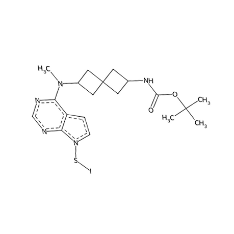 CN(c1ncnc2c1ccn2SI)C1CC2(CC(NC(=O)OC(C)(C)C)C2)C1